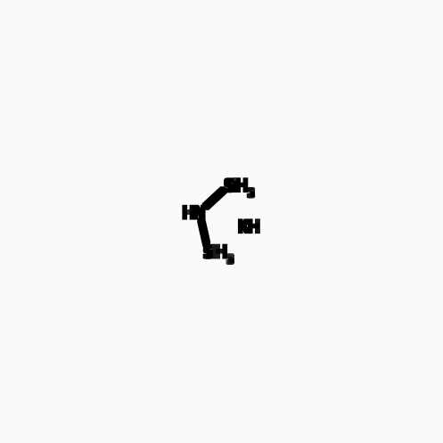 [KH].[SiH3]N[SiH3]